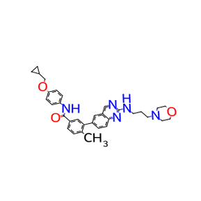 Cc1ccc(C(=O)Nc2ccc(OCC3CC3)cc2)cc1-c1ccc2nc(NCCCN3CCOCC3)ncc2c1